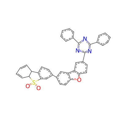 O=S1(=O)c2cc(-c3ccc4oc5ccc(-c6nc(-c7ccccc7)nc(-c7ccccc7)n6)cc5c4c3)ccc2C2C=CC=CC21